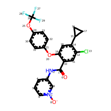 O=C(Nc1ccc[n+]([O-])c1)c1cc(Cl)c(C2CC2)cc1Oc1ccc(OC(F)(F)F)cc1